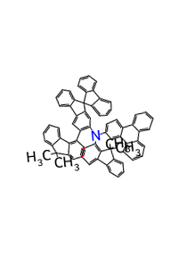 CC1(C)c2ccccc2-c2c(-c3cc4c(cc3N(c3ccc5c6ccccc6c6ccccc6c5c3)c3cccc5c3C(C)(C)c3ccccc3-5)C3(c5ccccc5-c5ccccc53)c3ccccc3-4)cccc21